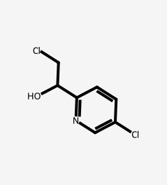 OC(CCl)c1ccc(Cl)cn1